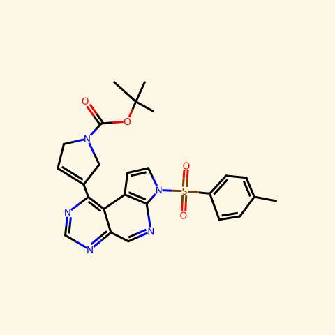 Cc1ccc(S(=O)(=O)n2ccc3c4c(C5=CCN(C(=O)OC(C)(C)C)C5)ncnc4cnc32)cc1